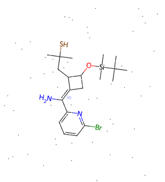 CC(C)(S)CC1/C(=C(\N)c2cccc(Br)n2)CC1O[Si](C)(C)C(C)(C)C